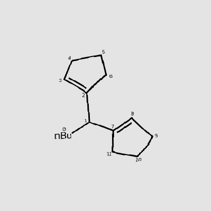 [CH2]CCCC(C1=CCCC1)C1=CCCC1